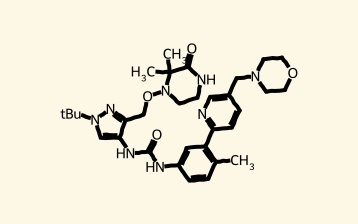 Cc1ccc(NC(=O)Nc2cn(C(C)(C)C)nc2CON2CCNC(=O)C2(C)C)cc1-c1ccc(CN2CCOCC2)cn1